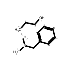 CCCO.CN(C)Cc1ccccc1